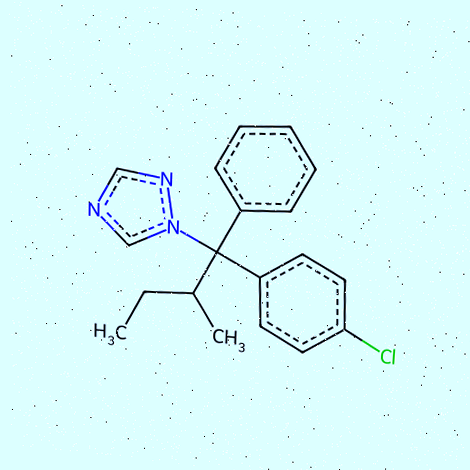 CCC(C)C(c1ccccc1)(c1ccc(Cl)cc1)n1cncn1